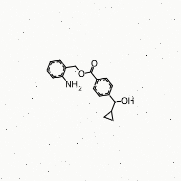 Nc1ccccc1COC(=O)c1ccc(C(O)C2CC2)cc1